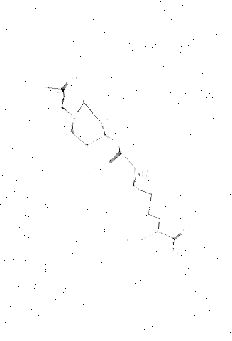 NC(CCCCNC(=O)OC1CCN(CC(=O)O)CC1)C(=O)O